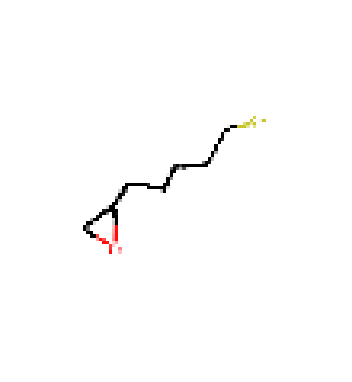 SCCCCCC1CO1